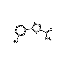 NC(=O)c1csc(-c2cccc(O)c2)n1